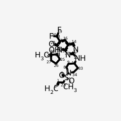 C=CC(C)S(=O)(=O)N1CCC(Nc2ncc3cc(C(F)F)c(=O)n([C@@H]4CCC[C@@]4(C)O)c3n2)CC1